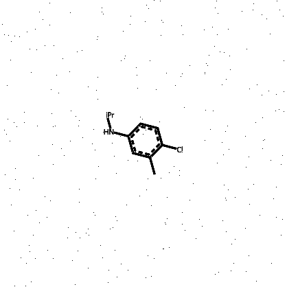 Cc1cc(NC(C)C)ccc1Cl